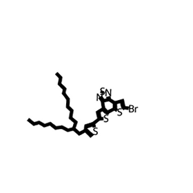 CCCCCCCCCCC(CCCCCCCC)Cc1csc(-c2cc3c4nsnc4c4cc(Br)sc4c3s2)c1